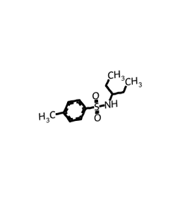 CCC(CC)NS(=O)(=O)c1ccc(C)cc1